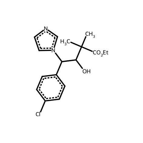 CCOC(=O)C(C)(C)C(O)C(c1ccc(Cl)cc1)n1ccnc1